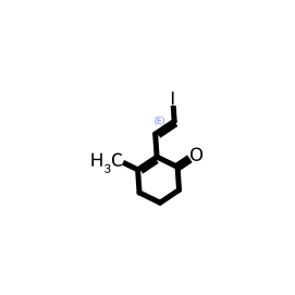 CC1=C(/C=C/I)C(=O)CCC1